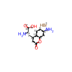 Br.Cc1cc(=O)oc2cc(N)ccc12.NCC(=O)O